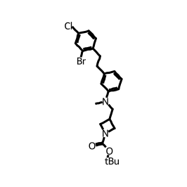 CN(CC1CN(C(=O)OC(C)(C)C)C1)c1cccc(CCc2ccc(Cl)cc2Br)c1